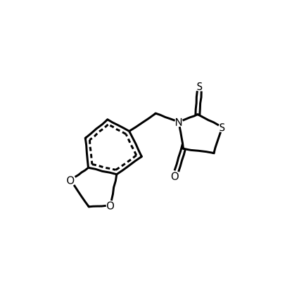 O=C1CSC(=S)N1Cc1ccc2c(c1)OCO2